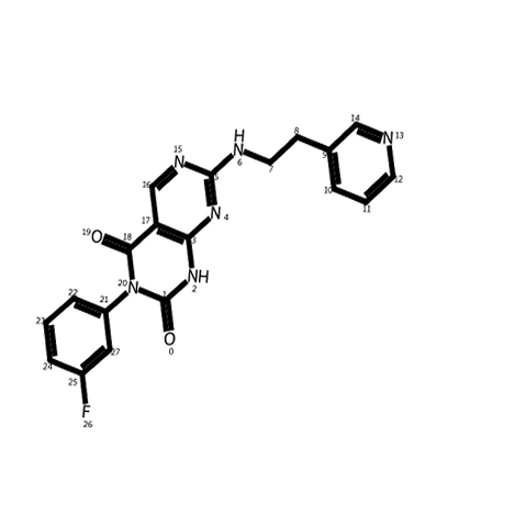 O=c1[nH]c2nc(NCCc3cccnc3)ncc2c(=O)n1-c1cccc(F)c1